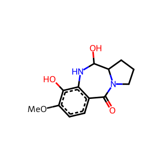 COc1ccc2c(c1O)NC(O)C1CCCN1C2=O